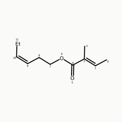 C/C=C(\C)C(=O)OCC/C=C\CC